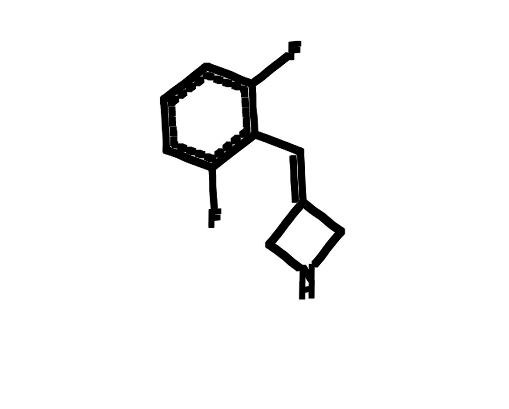 Fc1cccc(F)c1C=C1CNC1